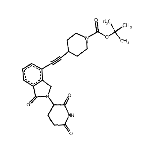 CC(C)(C)OC(=O)N1CCC(C#Cc2cccc3c2CN(C2CCC(=O)NC2=O)C3=O)CC1